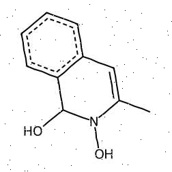 CC1=Cc2ccccc2C(O)N1O